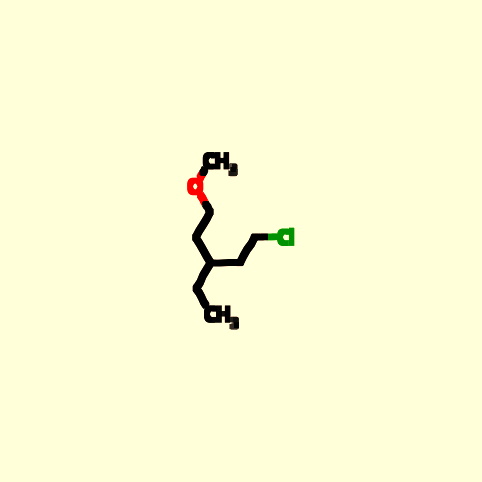 CCC(CCCl)CCOC